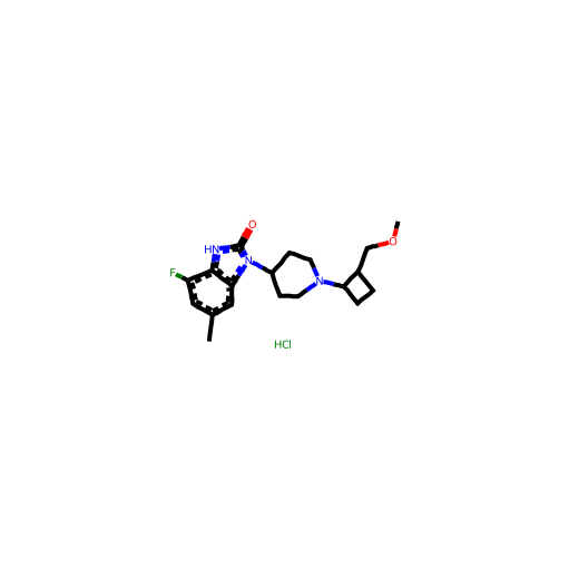 COCC1CCC1N1CCC(n2c(=O)[nH]c3c(F)cc(C)cc32)CC1.Cl